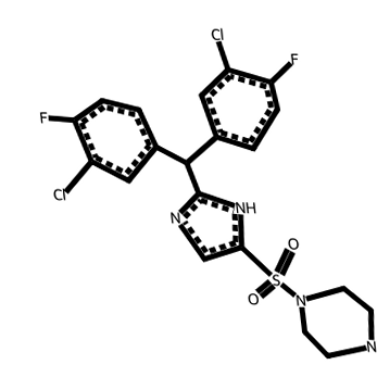 O=S(=O)(c1cnc(C(c2ccc(F)c(Cl)c2)c2ccc(F)c(Cl)c2)[nH]1)N1CCNCC1